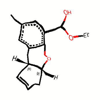 CCOC(O)c1cc(C)cc2c1O[C@@H]1CC=C[C@H]21